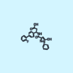 O=C(O)CC(NC(=O)c1cc(O)n(-c2ccccc2)n1)c1ccc(-c2ccccc2F)cc1